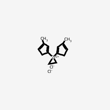 CC1=CC[C]([Zr+2]2([C]3=CC(C)=CC3)[CH2][CH2]2)=C1.[Cl-].[Cl-]